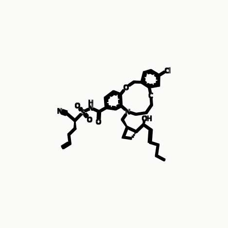 C=CCC[C@@H](C#N)S(=O)(=O)NC(=O)c1ccc2c(c1)N(C[C@@H]1CC[C@H]1[C@@H](O)/C=C/CCC)CCCCc1cc(Cl)ccc1CO2